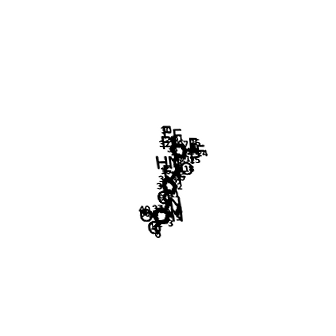 COc1cc2ncnc(Oc3ccc(C(F)(F)C(=O)Nc4cc(C(F)(F)F)cc(C(F)(F)F)c4)cc3)c2cc1OC